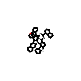 c1ccc2cc3c(cc2c1)c1c2ccccc2ccc1n3-c1c(C2N=C(c3cccc4ccccc34)N=C(c3cccc4ccccc34)N2)ccc2oc3ccccc3c12